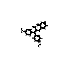 COc1ccc(C(=C(Cc2ccccc2)C(N)=O)c2ccc(OC)cc2)cc1